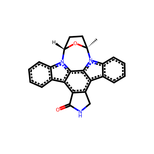 C[C@@]12CC[C@H](O1)n1c3ccccc3c3c4c(c5c6ccccc6n2c5c31)CNC4=O